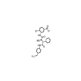 C=Cc1ccc(NC(=O)C(c2ccccc2)N(S)C(=O)Nc2cc([N+](=O)[O-])ccc2Cl)cc1